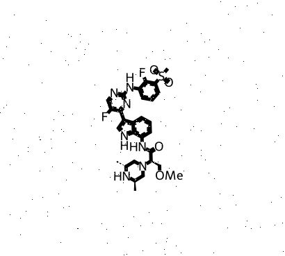 COC[C@H](C(=O)Nc1cccc2c(-c3nc(Nc4cccc(S(C)(=O)=O)c4F)ncc3F)c[nH]c12)N1C[C@@H](C)N[C@H](C)C1